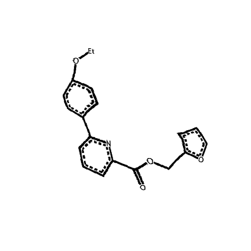 CCOc1ccc(-c2cccc(C(=O)OCc3ccco3)n2)cc1